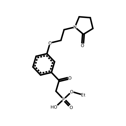 CCOP(=O)(O)CC(=O)c1cccc(OCCN2CCCC2=O)c1